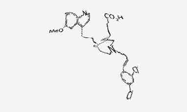 COc1ccc2nccc(CCC[C@@H]3CCN(CC#Cc4ccc(Cl)cc4Cl)C[C@@H]3CCC(=O)O)c2c1